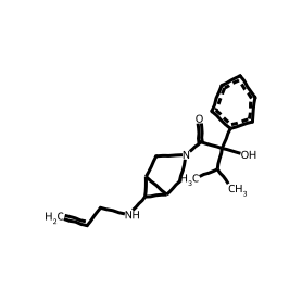 C=CCNC1C2CN(C(=O)C(O)(c3ccccc3)C(C)C)CC21